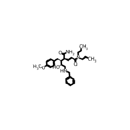 CCCN(CCC)C(=O)CCC(C(N)=O)[C@H](Cc1ccc(OC)cc1)[C@@H](O)CNCc1ccccc1